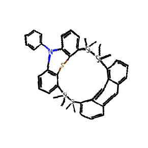 C[Si]1(C)c2cccc3c2Sc2c(cccc2[Si](C)(C)[Si](C)(C)c2cccc4cc5cccc(c5cc24)[Si]1(C)C)N3c1ccccc1